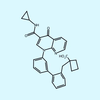 O=C(NC1CC1)c1cn(-c2cccc(-c3ccccc3CC3(C(=O)O)CCC3)c2)c2ncccc2c1=O